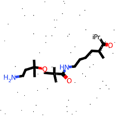 CC(C)C(=O)C(C)CCCCNC(=O)C(C)(C)COC(C)(C)CCN